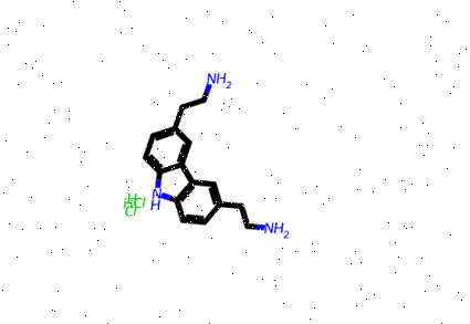 Cl.Cl.NCCc1ccc2[nH]c3ccc(CCN)cc3c2c1